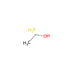 CCO.S